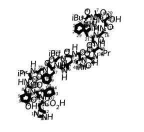 CC[C@H](C)[C@H](N)C(=O)N[C@@H](C)C(=O)N[C@H](C(=O)N[C@@H](C)C(=O)N[C@@H](Cc1c[nH]c2ccccc12)C(=O)N[C@@H](CC(C)C)C(=O)N[C@@H](CO)C(=O)N[C@@H](CC(C)C)C(=O)N[C@@H](Cc1c[nH]cn1)C(=O)N[C@H](C(=O)N[C@@H](Cc1ccc(O)cc1)C(=O)NCC(=O)N[C@H](C(=O)N[C@@H](Cc1ccc(O)cc1)C(=O)N[C@@H](Cc1ccccc1)C(=O)N[C@@H](Cc1c[nH]cn1)C(=O)O)C(C)C)[C@@H](C)CC)[C@@H](C)O